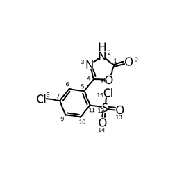 O=c1[nH]nc(-c2cc(Cl)ccc2S(=O)(=O)Cl)o1